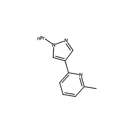 CCCn1cc(-c2cccc(C)n2)cn1